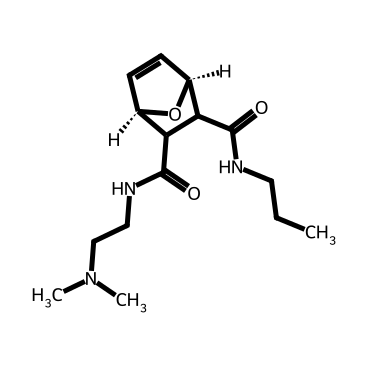 CCCNC(=O)C1C(C(=O)NCCN(C)C)[C@H]2C=C[C@@H]1O2